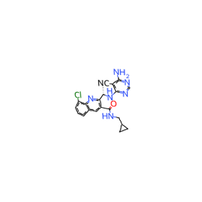 C[C@H](Nc1ncnc(N)c1C#N)c1nc2c(Cl)cccc2cc1C(=O)NCC1CC1